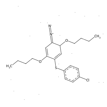 CCCCOC1=CC(=[N+]=[N-])C(OCCCC)C=C1Sc1ccc(Cl)cc1